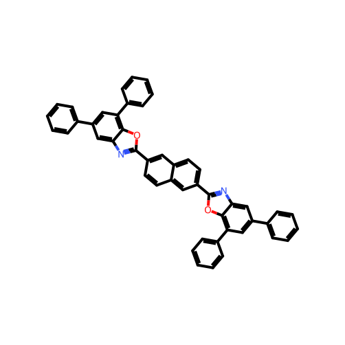 c1ccc(-c2cc(-c3ccccc3)c3oc(-c4ccc5cc(-c6nc7cc(-c8ccccc8)cc(-c8ccccc8)c7o6)ccc5c4)nc3c2)cc1